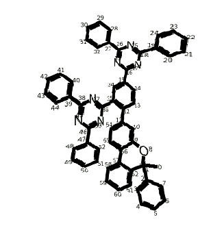 CC1(c2ccccc2)Oc2cc(-c3ccc(-c4nc(-c5ccccc5)nc(-c5ccccc5)n4)cc3-c3nc(-c4ccccc4)nc(-c4ccccc4)n3)ccc2-c2ccccc21